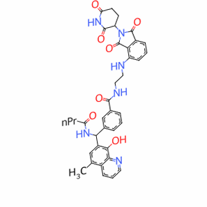 CCCC(=O)NC(c1cccc(C(=O)NCCNc2cccc3c2C(=O)N(C2CCC(=O)NC2=O)C3=O)c1)c1cc(C)c2cccnc2c1O